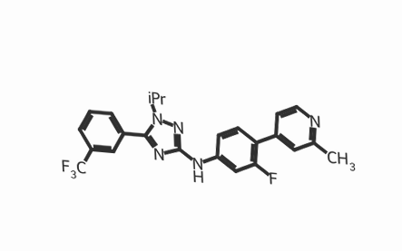 Cc1cc(-c2ccc(Nc3nc(-c4cccc(C(F)(F)F)c4)n(C(C)C)n3)cc2F)ccn1